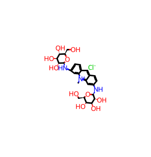 C[n+]1c2cc(N[C@@H]3O[C@H](CO)[C@@H](O)[C@H](O)[C@H]3O)ccc2cc2ccc(N[C@@H]3O[C@H](CO)[C@@H](O)[C@H](O)[C@H]3O)cc21.[Cl-]